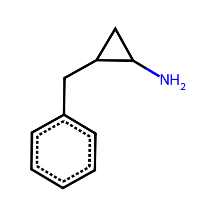 NC1CC1Cc1ccccc1